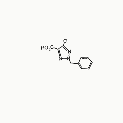 O=C(O)c1nn(Cc2ccccc2)nc1Cl